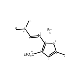 CCOC(=O)[n+]1cc(C)sc1/N=C/N(C)C.[Br-]